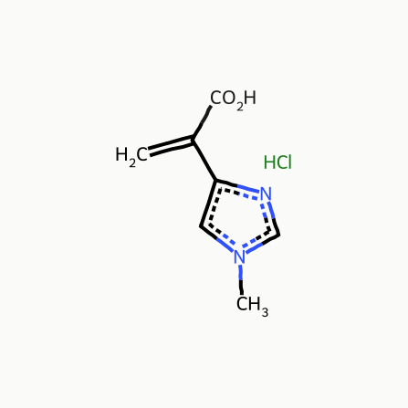 C=C(C(=O)O)c1cn(C)cn1.Cl